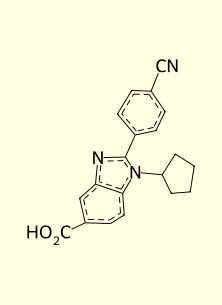 N#Cc1ccc(-c2nc3cc(C(=O)O)ccc3n2C2CCCC2)cc1